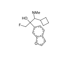 CNC(C1CCC1)C(O)(CF)c1ccc2ccoc2c1